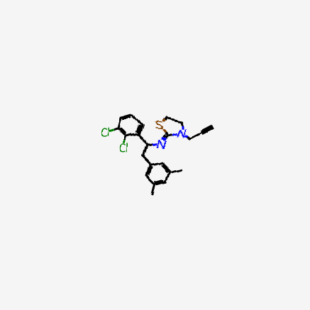 C#CCN1CCSC1=NC(Cc1cc(C)cc(C)c1)c1cccc(Cl)c1Cl